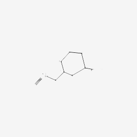 C=NCC1CCCC(CCC)C1